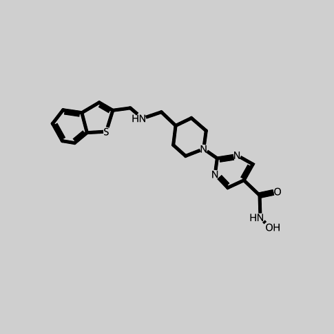 O=C(NO)c1cnc(N2CCC(CNCc3cc4ccccc4s3)CC2)nc1